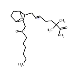 CCCCCC[S+]([O-])CC1C2CCC(O2)C1C/C=C/CCC(C)(C)C(N)=O